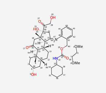 COCCOC.C[C@]12CC[C@@H](O)C[C@H]1CC[C@@H]1[C@@H]2C(=O)C[C@@]2(C)[C@H]1CC[C@]2(O)C(=O)CO.O=C(NC1CCCCC1)OCc1ccccc1[N+](=O)[O-]